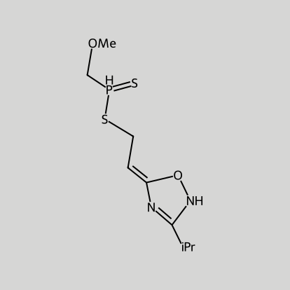 COC[PH](=S)SCC=C1N=C(C(C)C)NO1